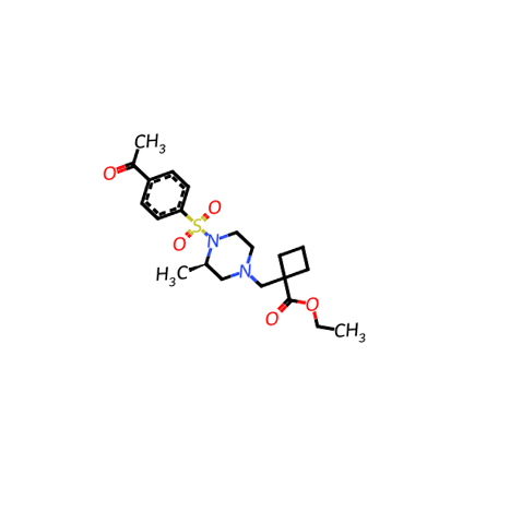 CCOC(=O)C1(CN2CCN(S(=O)(=O)c3ccc(C(C)=O)cc3)[C@H](C)C2)CCC1